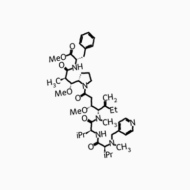 C=C(CC)[C@@H]([C@@H](CC(=O)N1CCC[C@H]1[C@H](OC)[C@@H](C)C(=O)N[C@@H](Cc1ccccc1)C(=O)OC)OC)N(C)C(=O)[C@@H](NC(=O)[C@H](C(C)C)N(C)Cc1ccncc1)C(C)C